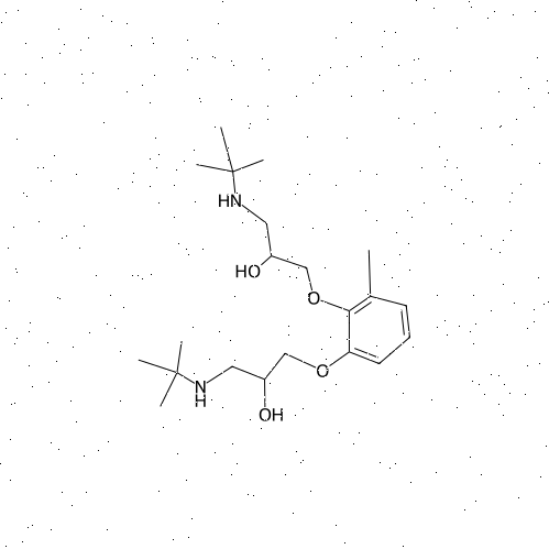 Cc1cccc(OCC(O)CNC(C)(C)C)c1OCC(O)CNC(C)(C)C